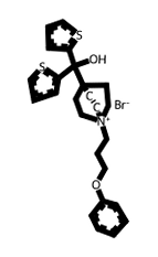 OC(c1cccs1)(c1cccs1)C12CC[N+](CCCOc3ccccc3)(CC1)CC2.[Br-]